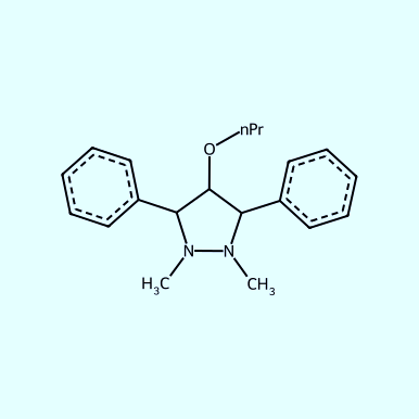 CCCOC1C(c2ccccc2)N(C)N(C)C1c1ccccc1